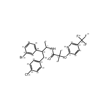 CC(NC(=O)C(C)(C)Oc1ccc(C(F)(F)F)cn1)C(Cc1ccc(Cl)cc1)c1cccc(Br)c1